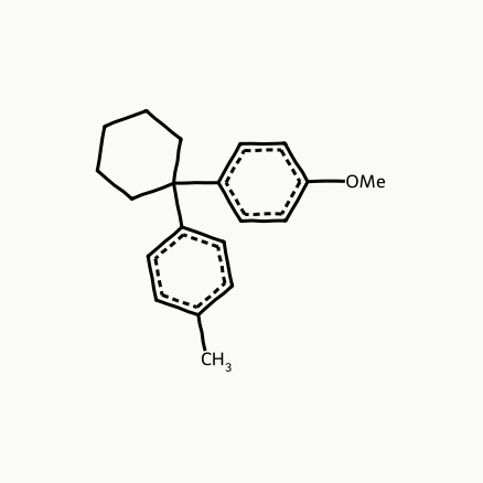 COc1ccc(C2(c3ccc(C)cc3)CCCCC2)cc1